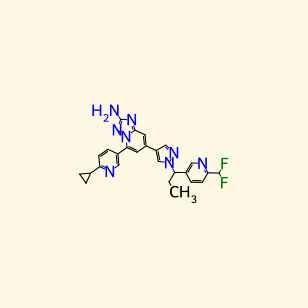 CCC(c1ccc(C(F)F)nc1)n1cc(-c2cc(-c3ccc(C4CC4)nc3)n3nc(N)nc3c2)cn1